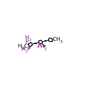 Cc1ccc(C#Cc2ccc(C#Cc3cc(P)c(C)c(P)c3)c(P)c2C2CC2)cc1